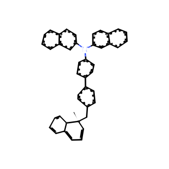 C[C@@]1(Cc2ccc(-c3ccc(N(c4ccc5ccccc5c4)c4ccc5ccccc5c4)cc3)cc2)C=CC=C2C=CC=CC21